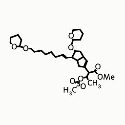 COC(=O)C(C1=CC2C[C@@H](OC3CCCCO3)[C@H](C=CCCCCCCOC3CCCCO3)C2C1)C(C)OS(C)(=O)=O